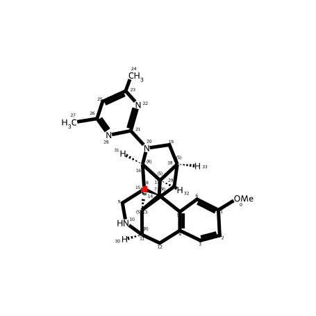 COc1ccc2c(c1)[C@]13CCN[C@H](C2)[C@]12CC[C@@H]1[C@H]3[C@@H](CN1c1nc(C)cc(C)n1)C2